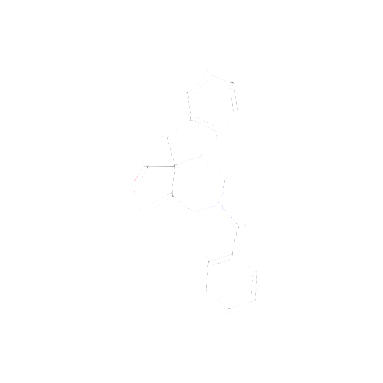 O=C(O)C1(Cc2ccccc2)CCN(Cc2ccccc2)CC1=O